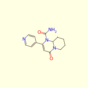 NC(=O)N1C(c2ccncc2)=CC(=O)N2CCC[CH]C21